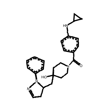 O=C(c1ccc(NC2CC2)cc1)N1CCC(O)(CC2CC=NN2c2ccccc2)CC1